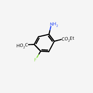 CCOC(=O)c1cc(F)c(C(=O)O)cc1N